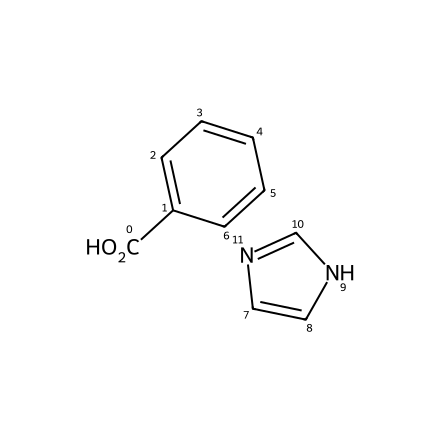 O=C(O)c1ccccc1.c1c[nH]cn1